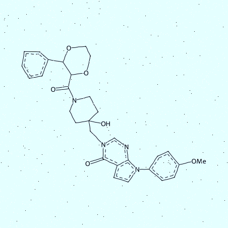 COc1ccc(-n2ccc3c(=O)n(CC4(O)CCN(C(=O)C5OCCOC5c5ccccc5)CC4)cnc32)cc1